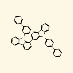 c1ccc(-c2ccc(-n3c4ccccc4c4ccc(-c5cccc6c7ccccc7n(-c7cccc(-c8ccccc8)c7)c56)cc43)cc2)cc1